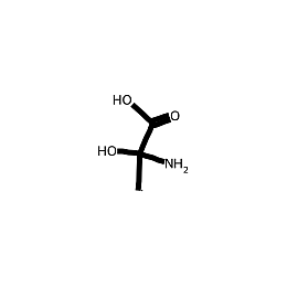 [CH2]C(N)(O)C(=O)O